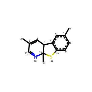 CC1=CC2c3cc(C)ccc3SC2(C)N=C1